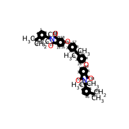 C=C(C)c1cccc(C(C)(C)N2C(=O)c3ccc(Oc4ccc(C(C)(C)c5ccc(Oc6ccc7c(c6)C(=O)N(C(C)(C)c6cccc(C(=C)C)c6)C7=O)cc5)cc4)cc3C2=O)c1